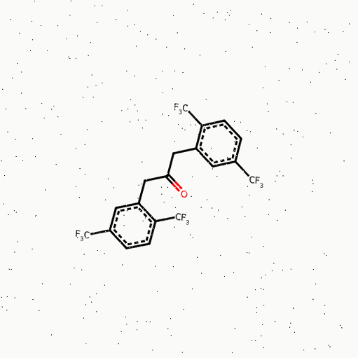 O=C(Cc1cc(C(F)(F)F)ccc1C(F)(F)F)Cc1cc(C(F)(F)F)ccc1C(F)(F)F